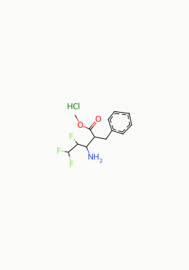 COC(=O)C(Cc1ccccc1)C(N)C(F)C(F)F.Cl